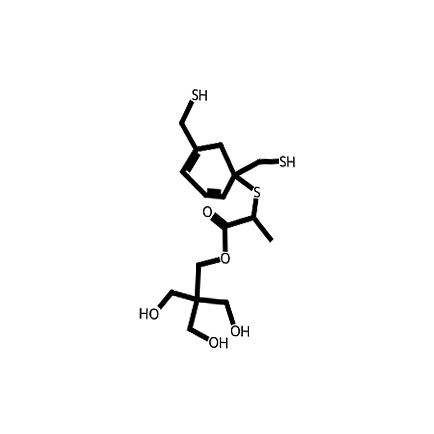 CC(SC1(CS)C=CC=C(CS)C1)C(=O)OCC(CO)(CO)CO